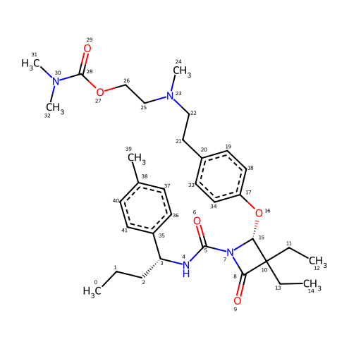 CCC[C@@H](NC(=O)N1C(=O)C(CC)(CC)[C@H]1Oc1ccc(CCN(C)CCOC(=O)N(C)C)cc1)c1ccc(C)cc1